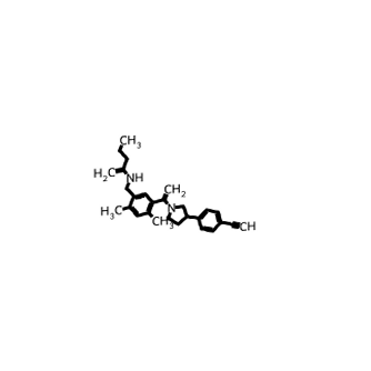 C#Cc1ccc(C2CCN(C(=C)c3cc(CNC(=C)CCC)c(C)cc3C)C2)cc1